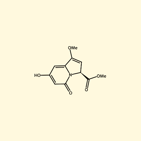 COC(=O)[C@@H]1C=C(OC)c2cc(O)cc(=O)n21